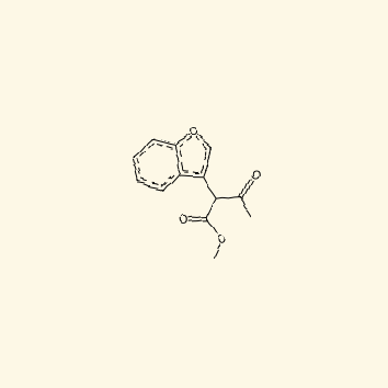 COC(=O)C(C(C)=O)c1coc2ccccc12